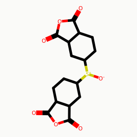 O=C1OC(=O)C2CC([S+]([O-])C3CCC4C(=O)OC(=O)C4C3)CCC12